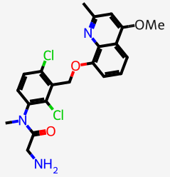 COc1cc(C)nc2c(OCc3c(Cl)ccc(N(C)C(=O)CN)c3Cl)cccc12